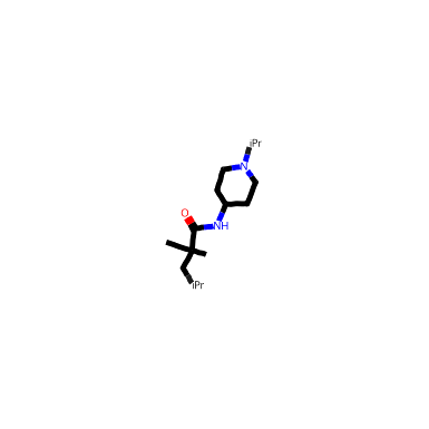 CC(C)CC(C)(C)C(=O)NC1CCN(C(C)C)CC1